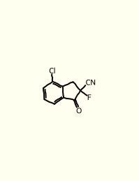 N#CC1(F)Cc2c(Cl)cccc2C1=O